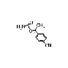 C[C@H](OC(N)=O)c1ccc(C#N)cc1